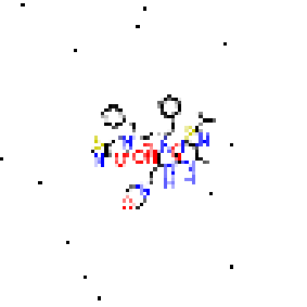 CC(C)c1nc(C(C)NC(=O)N[C@@H](CCN2CCOCC2)C(=O)N[C@H](CC[C@H](Cc2ccccc2)N(Cc2cncs2)C(=O)O)Cc2ccccc2)cs1